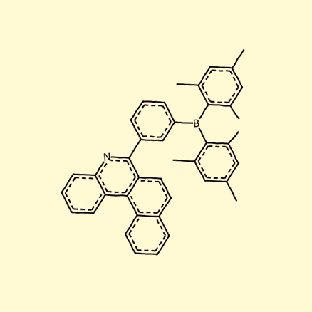 Cc1cc(C)c(B(c2cccc(-c3nc4ccccc4c4c3ccc3ccccc34)c2)c2c(C)cc(C)cc2C)c(C)c1